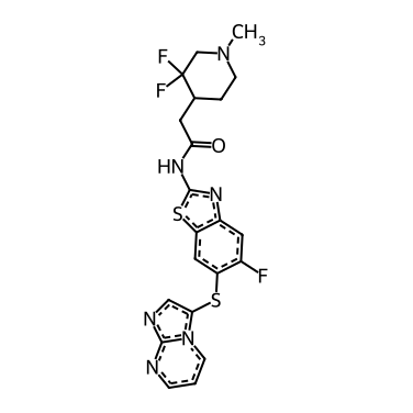 CN1CCC(CC(=O)Nc2nc3cc(F)c(Sc4cnc5ncccn45)cc3s2)C(F)(F)C1